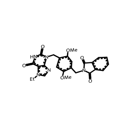 CCn1cnc2c1c(=O)[nH]c(=O)n2Cc1cc(OC)c(CN2C(=O)c3ccccc3C2=O)cc1OC